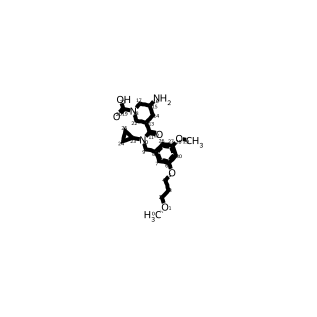 COCCCOc1cc(CN(C(=O)C2CC(N)CN(C(=O)O)C2)C2CC2)cc(OC)c1